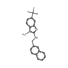 Cn1c(NCc2ccc3ccccc3c2)nc2cc(C(F)(F)F)ccc21